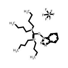 CCCCN(CCCC)C(On1nnc2ccccc21)=[N+](CCCC)CCCC.F[P-](F)(F)(F)(F)F